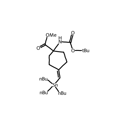 CCC[CH2][Sn]([CH]=C1CCC(NC(=O)OC(C)(C)C)(C(=O)OC)CC1)([CH2]CCC)[CH2]CCC